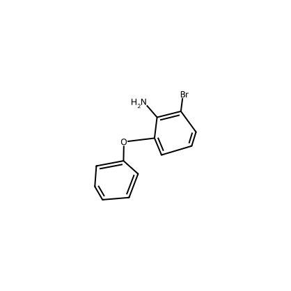 Nc1c(Br)cccc1Oc1ccccc1